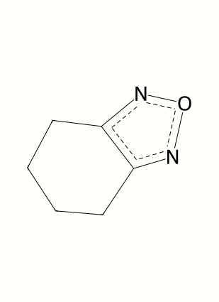 C1CCc2nonc2C1